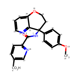 O=C(O)c1ccc(C(=O)N[C@]2(c3ccc(OC(F)(F)F)cc3)CCOc3cccnc32)nc1